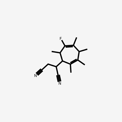 CC1=C(F)C(C)C(C(C#N)CC#N)C(C)=C(C)C1C